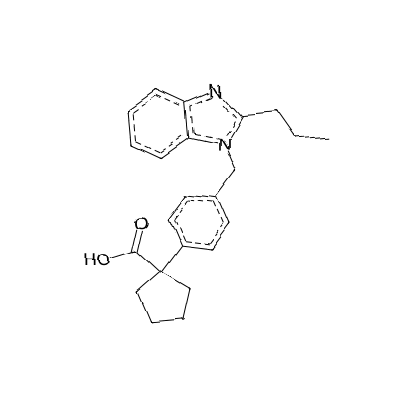 CCCc1nc2ccccc2n1Cc1ccc(C2(C(=O)O)CCCC2)cc1